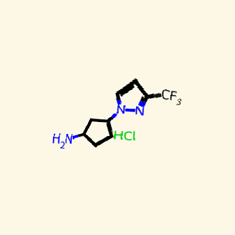 Cl.NC1CCC(n2ccc(C(F)(F)F)n2)C1